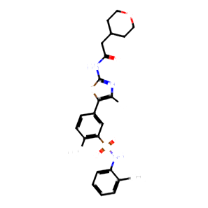 Cc1ccccc1NS(=O)(=O)c1cc(-c2sc(NC(=O)CC3CCOCC3)nc2C)ccc1C